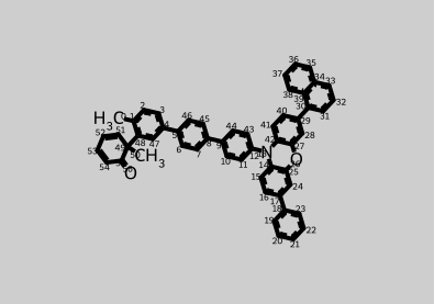 Cc1ccc(-c2ccc(-c3ccc(N4c5ccc(-c6ccccc6)cc5Oc5cc(-c6cccc7ccccc67)ccc54)cc3)cc2)cc1C1(C)C=CC=CC1=O